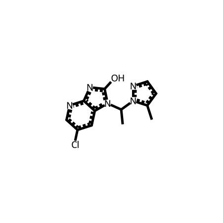 Cc1ccnn1C(C)n1c(O)nc2ncc(Cl)cc21